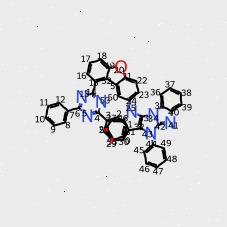 c1ccc(-c2nc(-c3ccccc3)nc(-c3cccc4oc5ccc(-n6c7ccccc7c7c6n6c8ccccc8nc6n7-c6ccccc6)cc5c34)n2)cc1